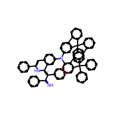 N=C(/C(=C1\NC(c2ccccc2)=Cc2ccc(N(c3ccc4c(c3)C3(c5ccccc5-c5ccccc53)c3ccccc3-4)c3cccc4c3-c3ccccc3C4(c3ccccc3)c3ccccc3)cc21)c1ccccc1)c1ccccc1